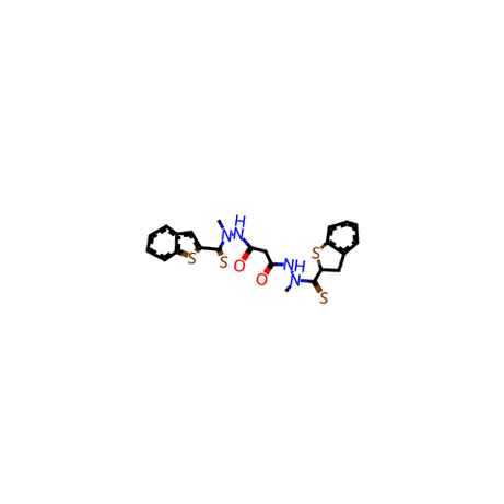 CN(NC(=O)CC(=O)NN(C)C(=S)C1Cc2ccccc2S1)C(=S)c1cc2ccccc2s1